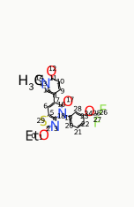 CCOc1nc2c(cc(-c3ccc(=O)n(C)c3)c(=O)n2-c2cccc(OC(F)F)c2)s1